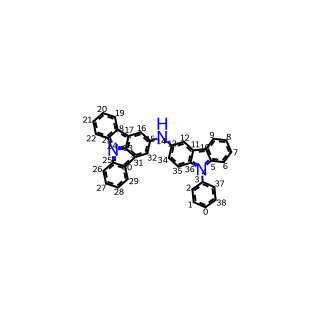 c1ccc(-n2c3ccccc3c3cc(Nc4cc5c6ccccc6n6c7ccccc7c(c4)c56)ccc32)cc1